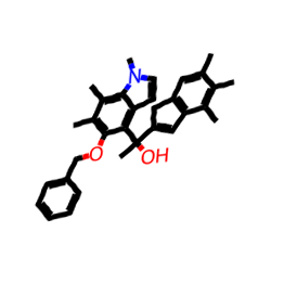 Cc1cc2c(c(C)c1C)C=C(C(C)(O)c1c(OCc3ccccc3)c(C)c(C)c3c1ccn3C)C2